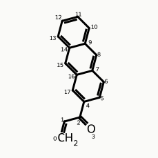 C=CC(=O)c1ccc2cc3ccccc3cc2c1